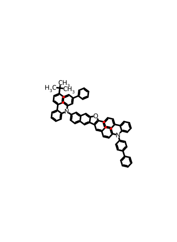 CC(C)(C)c1ccc(-c2ccccc2N(c2cccc(-c3ccccc3)c2)c2ccc3cc4c(cc3c2)oc2cc3cc(N(c5ccc(-c6ccccc6)cc5)c5ccccc5-c5ccccc5)ccc3cc24)cc1